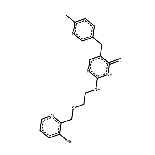 Cc1ccc(Cc2cnc(NCCSCc3ncccc3Br)[nH]c2=O)cn1